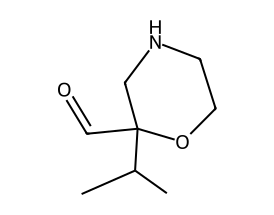 CC(C)C1(C=O)CNCCO1